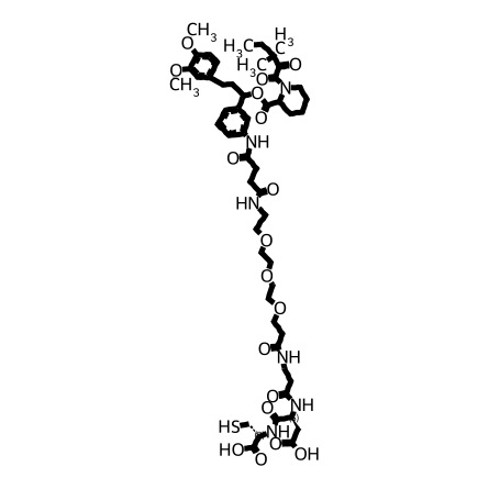 CCC(C)(C)C(=O)C(=O)N1CCCCC1C(=O)OC(CCc1ccc(OC)c(OC)c1)c1cccc(NC(=O)CCC(=O)NCCOCCOCCOCCC(=O)NCCC(=O)N[C@@H](CC(=O)O)C(=O)N[C@@H](CS)C(=O)O)c1